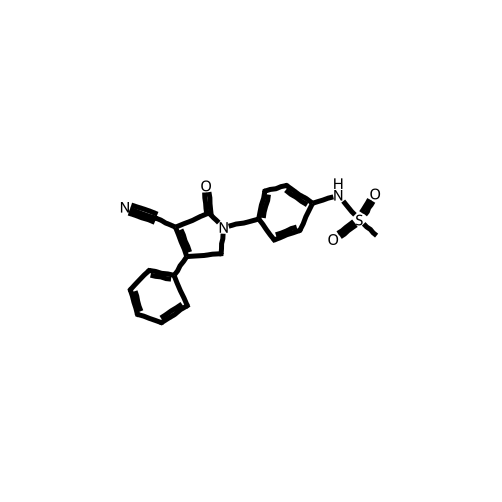 CS(=O)(=O)Nc1ccc(N2CC(c3ccccc3)=C(C#N)C2=O)cc1